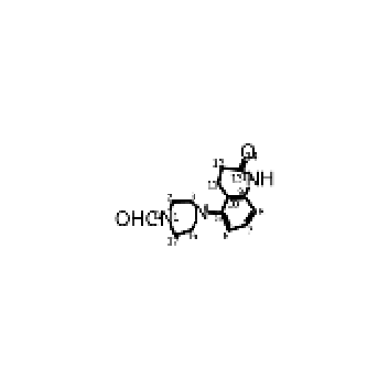 O=CN1CCN(c2cccc3c2CCC(=O)N3)CC1